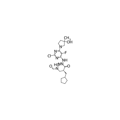 CC1(O)CCN(c2nc(Cl)nc(NNC(=O)[C@@H](CC3CCCC3)CN(O)C=O)c2F)C1